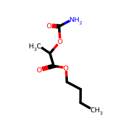 CCCCOC(=O)C(C)OC(N)=O